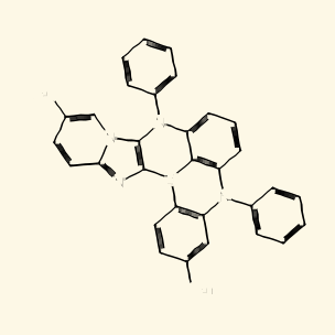 CC(C)(C)c1ccc2c(c1)N(c1ccccc1)c1cccc3c1B2c1nc2ccc(C(C)(C)C)cn2c1N3c1ccccc1